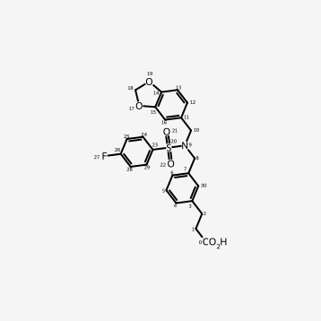 O=C(O)CCc1cccc(CN(Cc2ccc3c(c2)OCO3)S(=O)(=O)c2ccc(F)cc2)c1